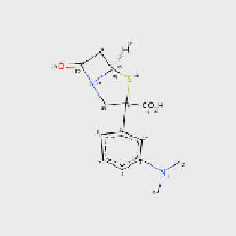 CN(C)c1cccc(C2(C(=O)O)CN3C(=O)C[C@H]3S2)c1